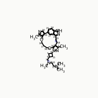 Cc1nn(C2CC(/C=[N+](/C)CCN(C)C)C2)c2c1/C=C/c1n[nH]c3ccc(cc13)-c1cnn(C)c1OCCCO2